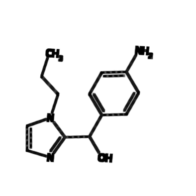 CCCn1ccnc1C(O)c1ccc(N)cc1